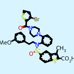 COc1cccc(CCN(c2ccccc2N2CCN(C(=O)c3sccc3Br)CC2)[S+]([O-])c2ccc3sc(C(=O)O)c(C)c3c2)c1